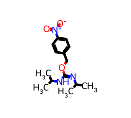 CC(C)N=C(NC(C)C)OCc1ccc([N+](=O)[O-])cc1